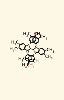 Cc1ccc(N2c3cc(C)c(C)cc3N(c3ccc(C)c(C)c3)C2C2N(c3ccc(C)c(C)c3)c3cc(C)c(C)cc3N2c2ccc(C)c(C)c2)cc1C